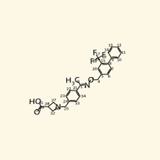 C/C(=N\OCc1ccc(-c2ccccc2)c(C(F)(F)F)c1)c1ccc(CN2CC(C(=O)O)C2)cc1